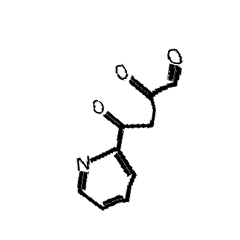 O=CC(=O)CC(=O)c1ccccn1